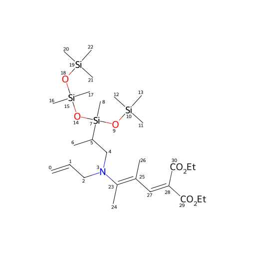 C=CCN(CC(C)[Si](C)(O[Si](C)(C)C)O[Si](C)(C)O[Si](C)(C)C)/C(C)=C(\C)C=C(C(=O)OCC)C(=O)OCC